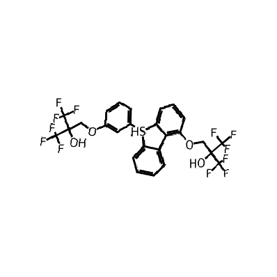 OC(COc1cccc([SH]2c3ccccc3-c3c(OCC(O)(C(F)(F)F)C(F)(F)F)cccc32)c1)(C(F)(F)F)C(F)(F)F